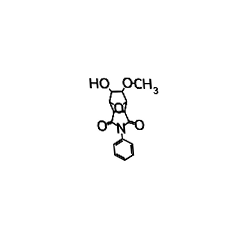 COC1C(O)C2OC1C1C(=O)N(c3ccccc3)C(=O)C21